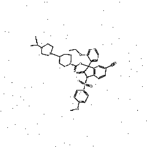 CCOc1ccccc1C1(OC(=O)N2CCC(N3CCN(C(C)C)CC3)CC2)C(=O)N(S(=O)(=O)c2ccc(OC)cc2)c2ccc(C#N)cc21